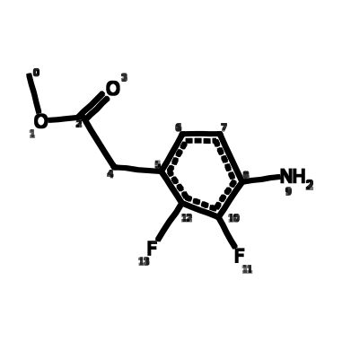 COC(=O)Cc1ccc(N)c(F)c1F